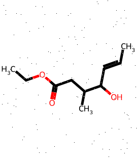 CC=CC(O)C(C)CC(=O)OCC